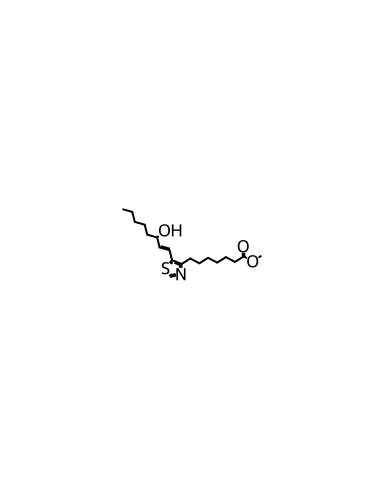 CCCCCC(O)/C=C/c1scnc1CCCCCCC(=O)OC